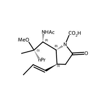 CC=C[C@@H]1CC(=O)N(C(=O)O)[C@H]1[C@@H](NC(C)=O)[C@](C)(CCC)OC